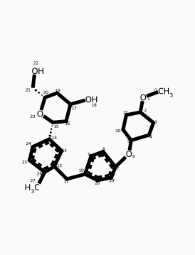 COC1CCC(Oc2ccc(Cc3cc([C@H]4CC(O)C[C@@H](CO)O4)ccc3C)cc2)CC1